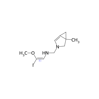 CO/C(I)=C\NCN1C=C2CC2(C)C1